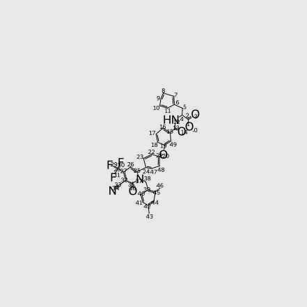 COC(=O)C(Cc1ccccc1)NC(=O)c1cccc(Oc2ccc(-c3cc(C(F)(F)F)c(C#N)c(=O)n3Cc3ccc(C)cc3C)cc2)c1